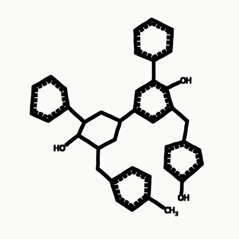 Cc1ccc(CC2CC(c3cc(Cc4ccc(O)cc4)c(O)c(-c4ccccc4)c3)CC(c3ccccc3)C2O)cc1